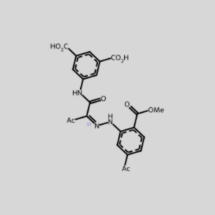 COC(=O)c1ccc(C(C)=O)cc1N/N=C(/C(C)=O)C(=O)Nc1cc(C(=O)O)cc(C(=O)O)c1